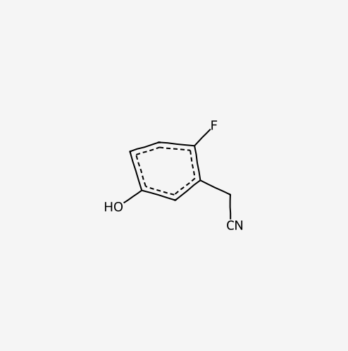 N#CCc1cc(O)ccc1F